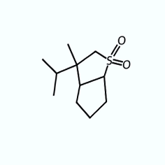 CC(C)C1(C)CS(=O)(=O)C2CCCC21